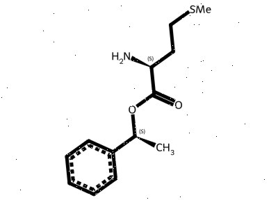 CSCC[C@H](N)C(=O)O[C@@H](C)c1ccccc1